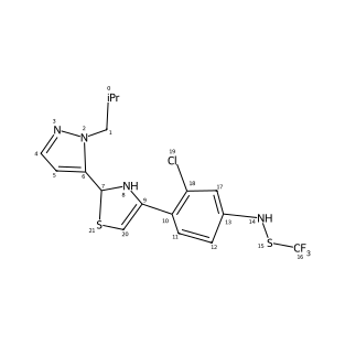 CC(C)Cn1nccc1C1NC(c2ccc(NSC(F)(F)F)cc2Cl)=CS1